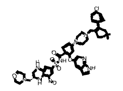 CC1(C)CCC(CN2CCN(c3ccc(C(=O)NS(=O)(=O)c4cc(N=O)c5c(c4)NC[C@@H](CN4CCOCC4)N5)c(Oc4cnc5[nH]ccc5c4)c3)CC2)=C(c2ccc(Cl)cc2)C1